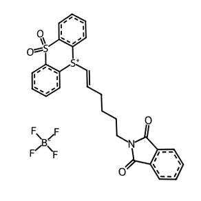 F[B-](F)(F)F.O=C1c2ccccc2C(=O)N1CCCC/C=C/[S+]1c2ccccc2S(=O)(=O)c2ccccc21